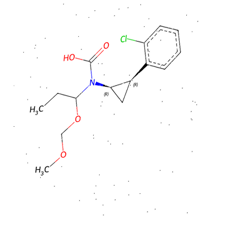 CCC(OCOC)N(C(=O)O)[C@@H]1C[C@@H]1c1ccccc1Cl